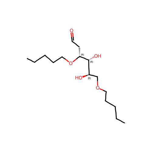 CCCCCOC[C@@H](O)[C@@H](O)[C@@H](CC=O)OCCCCC